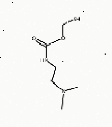 CN(C)CCNC(=O)OCS